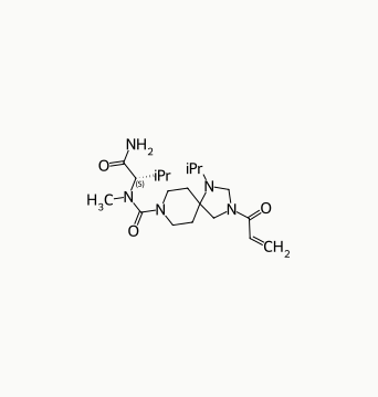 C=CC(=O)N1CN(C(C)C)C2(CCN(C(=O)N(C)[C@H](C(N)=O)C(C)C)CC2)C1